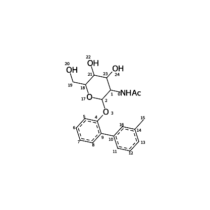 CC(=O)NC1C(Oc2ccccc2-c2cccc(C)c2)OC(CO)C(O)C1O